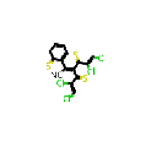 N#CC(C1=CC=CCC1=S)=C(C(=S)C(Cl)=CCl)C(=S)C(Cl)=CCl